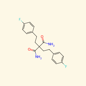 NC(=O)C(CCc1ccc(F)cc1)(CCc1ccc(F)cc1)C(N)=O